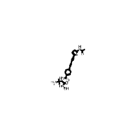 CC(=O)Nc1ccc(C#CC#Cc2ccc(C(=O)N[C@H](C(=O)NO)C(C)(C)N)cc2)s1